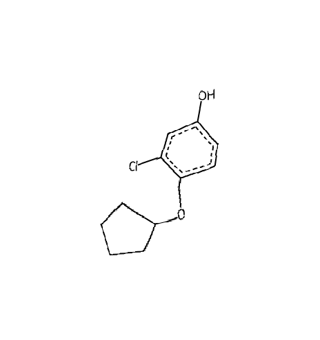 Oc1ccc(OC2CCCC2)c(Cl)c1